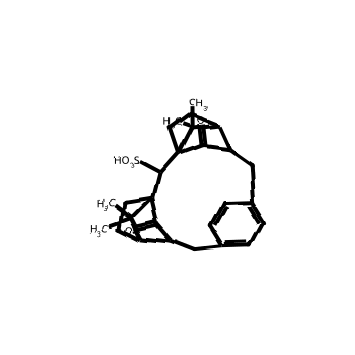 CC1(C)C2CCC13C(=O)C2Cc1ccc(cc1)CC1C(=O)C2(CCC1C2(C)C)C3S(=O)(=O)O